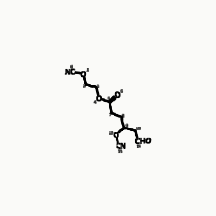 N#COCCOC(=O)CCC(CC=O)OC#N